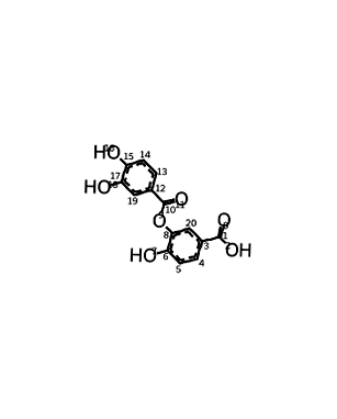 O=C(O)c1ccc(O)c(OC(=O)c2ccc(O)c(O)c2)c1